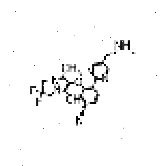 Cc1nn(CC(F)(F)F)c(C)c1Oc1cc(C#N)ccc1-c1ncc(CCN)cn1